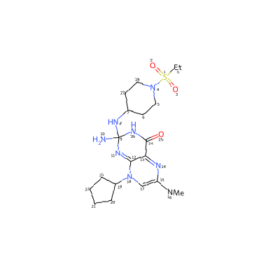 CCS(=O)(=O)N1CCC(NC2(N)N=C3C(=NC(NC)=CN3C3CCCC3)C(=O)N2)CC1